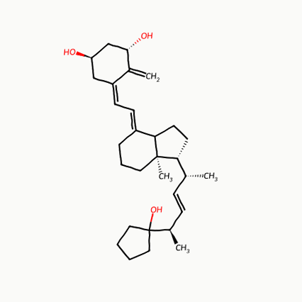 C=C1/C(=C\C=C2/CCC[C@@]3(C)C2CC[C@@H]3[C@H](C)/C=C/[C@@H](C)C2(O)CCCC2)C[C@@H](O)C[C@@H]1O